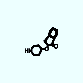 O=C1c2ccccc2CC1OC1CCNCC1